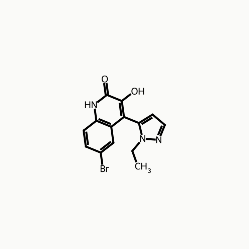 CCn1nccc1-c1c(O)c(=O)[nH]c2ccc(Br)cc12